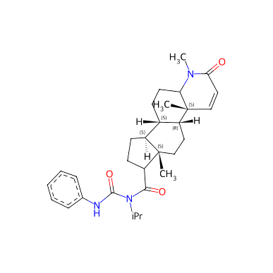 CC(C)N(C(=O)Nc1ccccc1)C(=O)C1CC[C@H]2[C@@H]3CCC4N(C)C(=O)C=C[C@]4(C)[C@@H]3CC[C@]12C